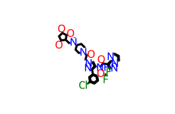 CN(CC1C(=O)CC(=O)C1=O)C1CCN(C(=O)Cn2cc(NC(=O)c3cnn4cccnc34)c(-c3cc(Cl)ccc3OC(F)F)n2)CC1